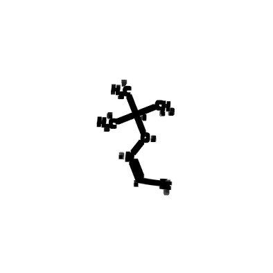 CC/C=N\OC(C)(C)C